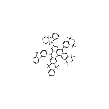 CC1(C)CCC(C)(C)c2cc(N3c4cc5c(cc4B4c6cc7c(cc6N(c6ccc8oc9ccccc9c8c6)c6cc(N8c9ccccc9C9(C)CCCCC89C)cc3c64)C(C)(C)c3ccccc3C7(C)C)C(C)(C)CCC5(C)C)ccc21